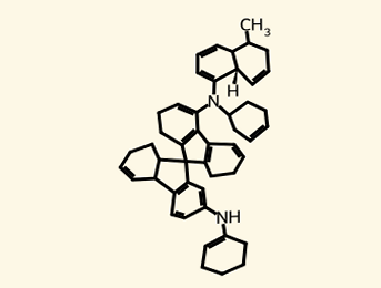 CC1CC=C[C@@H]2C(N(C3=CCCC4=C3C3=C(CCC=C3)C43c4cc(NC5=CCCCC5)ccc4C4C=CCCC43)C3CC=CCC3)=CC=CC12